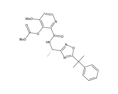 COc1ccnc(C(=O)N[C@@H](C)c2noc(C(C)(C)c3ccccc3)n2)c1OC(=O)OCC(C)C